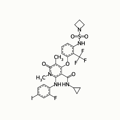 Cc1c(Oc2cccc(NS(=O)(=O)N3CCC3)c2C(F)(F)F)c(C(=O)NC2CC2)c(Nc2ccc(I)cc2F)n(C)c1=O